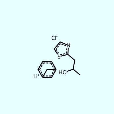 CC(O)Cc1nccs1.[Cl-].[Li+].c1cc2cc(c1)C2